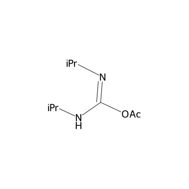 CC(=O)O/C(=N/C(C)C)NC(C)C